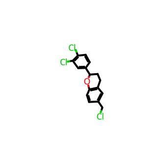 ClCc1ccc2c(c1)CCC(c1ccc(Cl)c(Cl)c1)O2